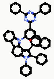 c1ccc(-c2cc(-c3nc(-c4ccccc4)nc(-c4ccccc4)n3)cc(-n3c4ccccc4c4ccc5c(c(-c6ccccc6)c(-c6ccccc6)n5-c5ccccc5)c43)c2)cc1